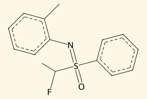 Cc1ccccc1N=S(=O)(c1ccccc1)C(C)F